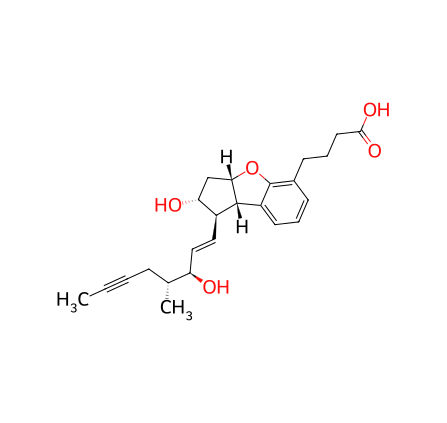 CC#CC[C@@H](C)[C@H](O)/C=C/[C@@H]1[C@H]2c3cccc(CCCC(=O)O)c3O[C@H]2C[C@H]1O